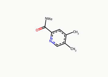 CNC(=O)c1cc(C)c(C)cn1